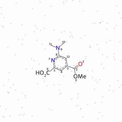 COC(=O)c1cc(C(=O)O)nc(N(C)C)c1